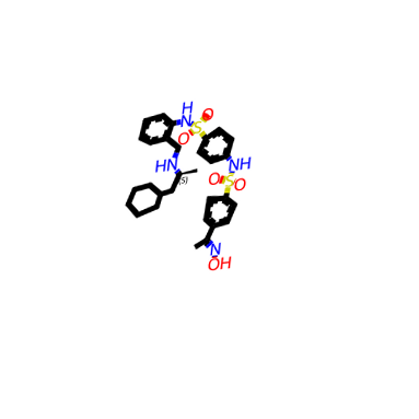 CC(=NO)c1ccc(S(=O)(=O)Nc2ccc(S(=O)(=O)Nc3ccccc3CN[C@@H](C)CC3CCCCC3)cc2)cc1